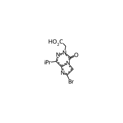 CC(C)c1nn(CC(=O)O)c(=O)n2cc(Br)nc12